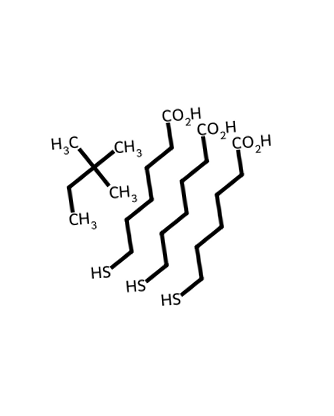 CCC(C)(C)C.O=C(O)CCCCCS.O=C(O)CCCCCS.O=C(O)CCCCCS